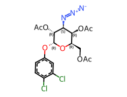 CC(=O)OC[C@H]1O[C@H](Oc2ccc(Cl)c(Cl)c2)[C@H](OC(C)=O)[C@@H](N=[N+]=[N-])[C@H]1OC(C)=O